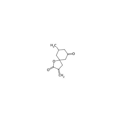 C=C1CC2(CC(=O)CC(C)C2)OC1=O